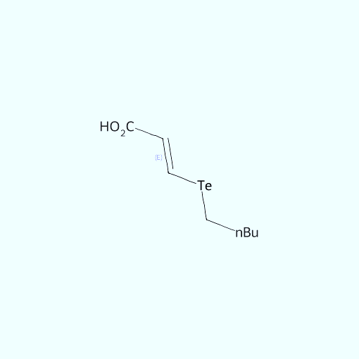 CCCCC[Te]/C=C/C(=O)O